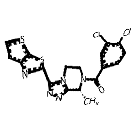 C[C@@H]1c2nnc(-c3nc4ccsc4s3)n2CCN1C(=O)c1ccc(Cl)c(Cl)c1